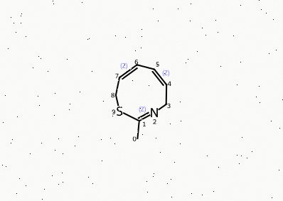 C/C1=N/C/C=C\C=C/CS1